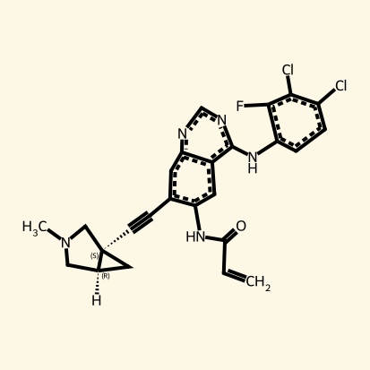 C=CC(=O)Nc1cc2c(Nc3ccc(Cl)c(Cl)c3F)ncnc2cc1C#C[C@]12C[C@H]1CN(C)C2